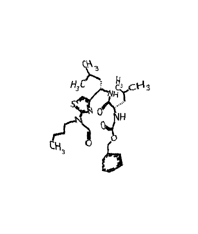 CCCCN(C=O)c1nc([C@H](CC(C)C)NC(=O)[C@H](CC(C)C)NC(=O)OCc2ccccc2)cs1